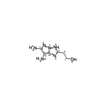 Nc1nn2[nH]c(CCO)nc2c1N